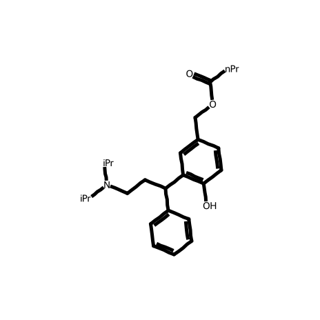 CCCC(=O)OCc1ccc(O)c(C(CCN(C(C)C)C(C)C)c2ccccc2)c1